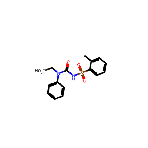 Cc1ccccc1S(=O)(=O)NC(=O)N(CC(=O)O)c1ccccc1